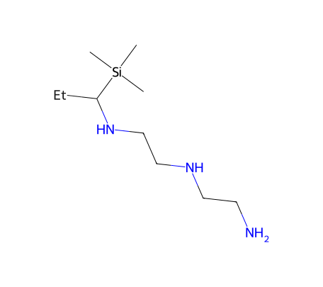 CCC(NCCNCCN)[Si](C)(C)C